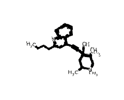 CCCCc1cc(C#CC2(O)CC(C)N(C)CC2C)c2ccccc2n1